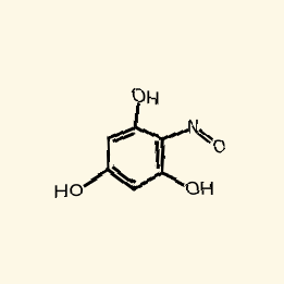 O=Nc1c(O)cc(O)cc1O